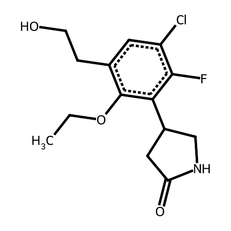 CCOc1c(CCO)cc(Cl)c(F)c1C1CNC(=O)C1